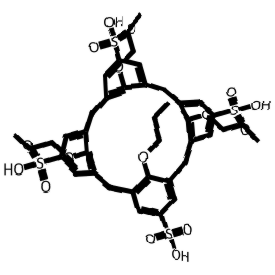 CCCOc1c2cc(S(=O)(=O)O)cc1Cc1cc(S(=O)(=O)O)cc(c1OCCC)Cc1cc(S(=O)(=O)O)cc(c1OCCC)Cc1cc(S(=O)(=O)O)cc(c1OCCC)C2